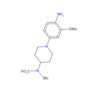 COc1cc(N2CCC(N(C(=O)O)C(C)(C)C)CC2)ccc1N